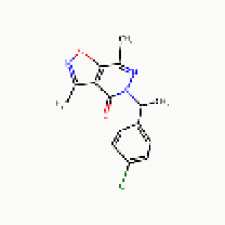 Cc1nn(C(C)c2ccc(Cl)cc2)c(=O)c2c(C)noc12